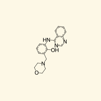 Oc1c(CN2CCOCC2)cccc1Nc1ncnc2ccccc12